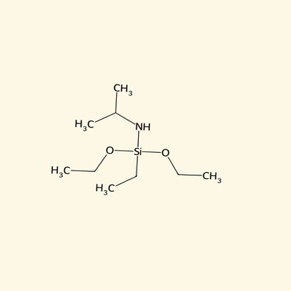 CCO[Si](CC)(NC(C)C)OCC